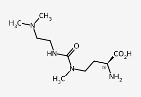 CN(C)CCNC(=O)N(C)CC[C@H](N)C(=O)O